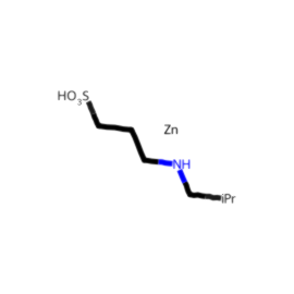 CC(C)CNCCCS(=O)(=O)O.[Zn]